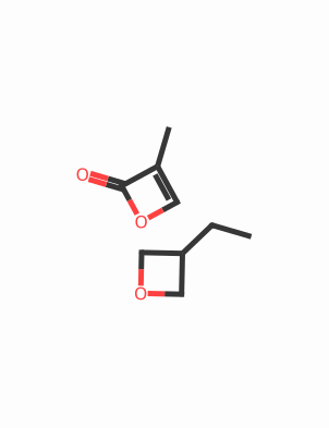 CC1=COC1=O.CCC1COC1